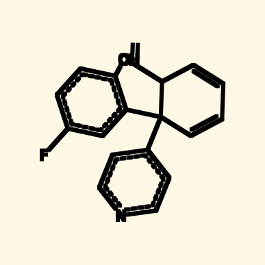 C=CC1C=CC=CC1(c1ccncc1)c1cc(F)ccc1O